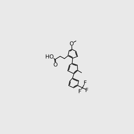 COc1ccc(-c2ccc(-c3cccc(C(F)(F)F)c3)c(C)c2)c(CCC(=O)O)c1